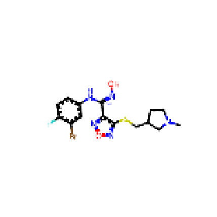 CN1CCC(CSc2nonc2/C(=N/O)Nc2ccc(F)c(Br)c2)C1